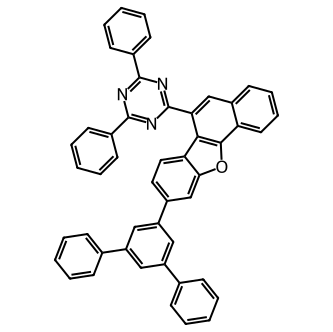 c1ccc(-c2cc(-c3ccccc3)cc(-c3ccc4c(c3)oc3c5ccccc5cc(-c5nc(-c6ccccc6)nc(-c6ccccc6)n5)c43)c2)cc1